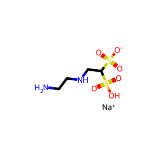 NCCNCC(S(=O)(=O)[O-])S(=O)(=O)O.[Na+]